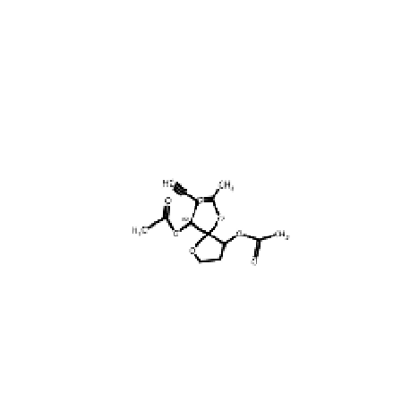 C#CC[C@H](OC(C)=O)C1(OC(C)=O)OCCC1OC(C)=O